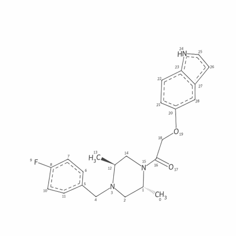 C[C@@H]1CN(Cc2ccc(F)cc2)[C@@H](C)CN1C(=O)COc1ccc2[nH]ccc2c1